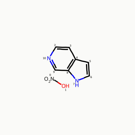 O=[N+]([O-])O.c1cc2cc[nH]c2cn1